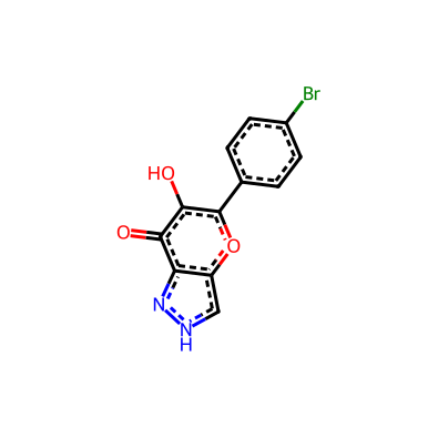 O=c1c(O)c(-c2ccc(Br)cc2)oc2c[nH]nc12